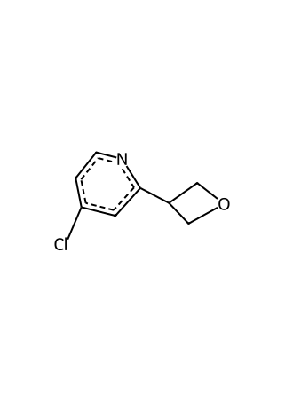 Clc1ccnc(C2COC2)c1